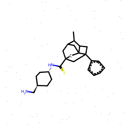 CC1C2CC3(C(=S)N[C@H]4CC[C@H](CN)CC4)CC4(c5ccccc5)CC1C4(C2)C3